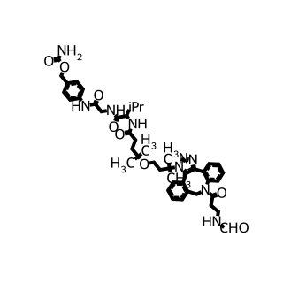 CC(C)C(NC(=O)CCC(C)(C)OCCC(C)(C)n1nnc2c1-c1ccccc1CN(C(=O)CCNC=O)c1ccccc1-2)C(=O)NCC(=O)Nc1ccc(COC(N)=O)cc1